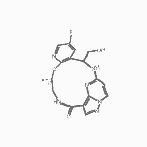 C[C@H]1CNC(=O)c2cnn3ccc(nc23)NC(CO)c2cc(F)cnc2O1